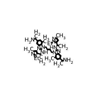 C=C(N)c1cc(C)c2c(c1)nc(NC(=C)c1cc(C)nn1CC)n2C/C=C/Cn1c(NC(=C)c2cc(C)nn2CC)nc2cc(C(=C)N)cc(C)c21